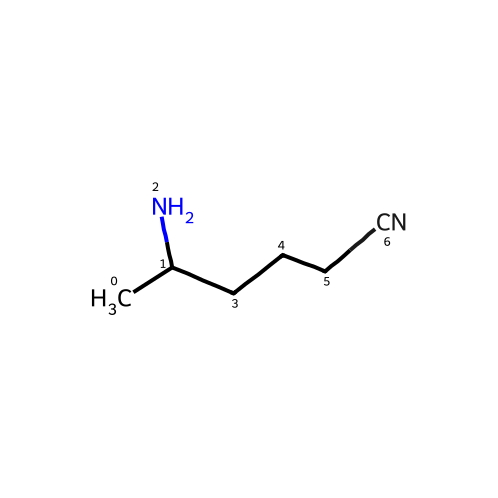 CC(N)CCCC#N